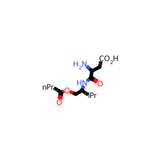 CCCC(=O)OCC(NC(=O)C(N)CC(=O)O)C(C)C